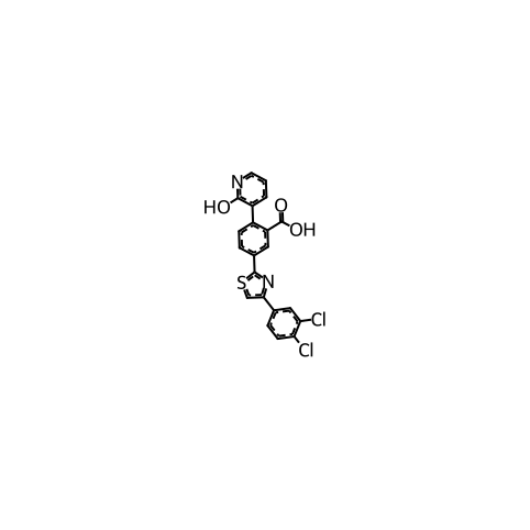 O=C(O)c1cc(-c2nc(-c3ccc(Cl)c(Cl)c3)cs2)ccc1-c1cccnc1O